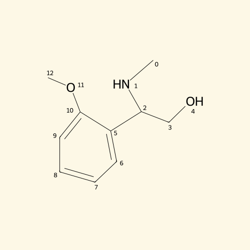 CNC(CO)c1ccccc1OC